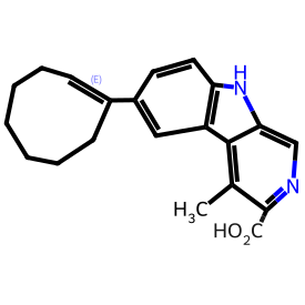 Cc1c(C(=O)O)ncc2[nH]c3ccc(/C4=C/CCCCCC4)cc3c12